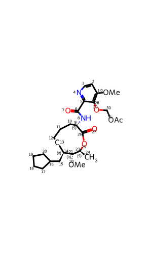 COc1ccnc(C(=O)N[C@H]2CCCC[C@H](CC3CCCC3)[C@@H](OC)[C@H](C)OC2=O)c1OCOC(C)=O